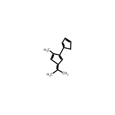 CC1=[C]C(=C(C)C)C=C1C1=CC=CC1